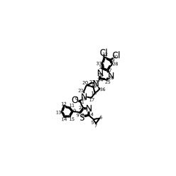 O=C(c1nc(C2CC2)sc1-c1ccccc1)N1CC2CC(C1)CN(c1cnc3cc(Cl)c(Cl)cc3n1)C2